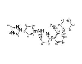 Cc1ncn(-c2ccc(Nc3nccc(-c4cccc(N5CCOCC5)c4C#N)n3)cc2)n1